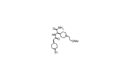 CCN1CCC(=CC(=O)NC(C(N)=O)=C2CCN(CCOC)CC2)CC1